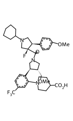 COC[C@H]1CN(C(=O)[C@]2(F)CN(C3CCCCC3)C[C@H]2c2ccc(OC)cc2)C[C@@H]1c1ccc(C(F)(F)F)cc1N1CCC(C(=O)O)CC1